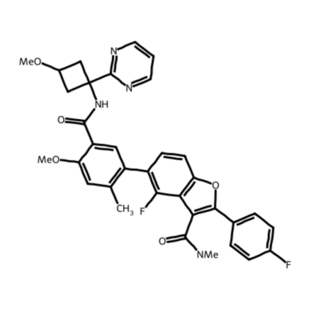 CNC(=O)c1c(-c2ccc(F)cc2)oc2ccc(-c3cc(C(=O)NC4(c5ncccn5)CC(OC)C4)c(OC)cc3C)c(F)c12